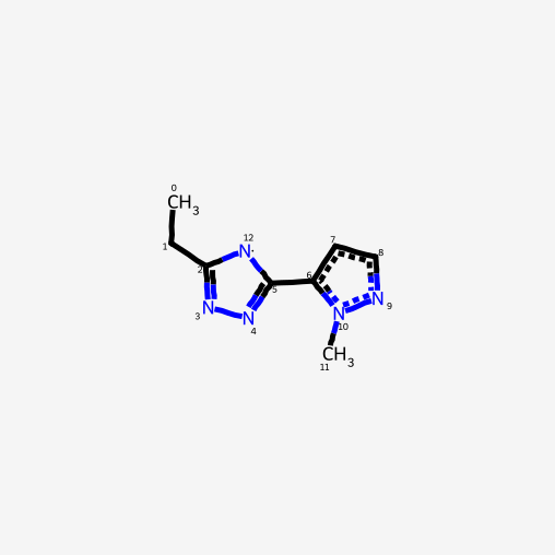 CCC1=NN=C(c2ccnn2C)[N]1